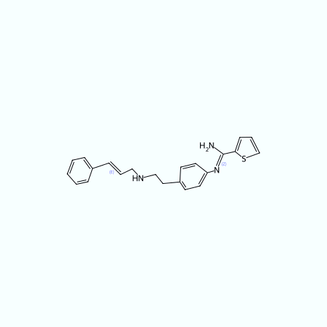 N/C(=N\c1ccc(CCNC/C=C/c2ccccc2)cc1)c1cccs1